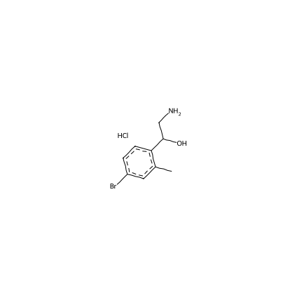 Cc1cc(Br)ccc1C(O)CN.Cl